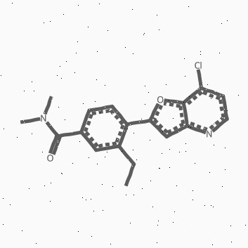 CCc1cc(C(=O)N(C)C)ccc1-c1cc2nccc(Cl)c2o1